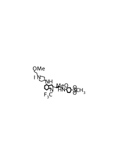 COCC[C@@H](I)N1CCC(Nc2cccc3c2cc(C#CCNc2ccc(S(C)(=O)=O)cc2OC)n3CC(F)(F)F)CC1